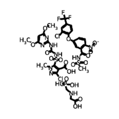 COc1cc(OC)nc(NC(=O)NS(=O)(=O)c2c(C(=O)O)c(Cl)nn2C)n1.CS(=O)(=O)NC(=O)c1cc(Oc2ccc(C(F)(F)F)cc2Cl)ccc1[N+](=O)[O-].O=C(O)CNCP(=O)(O)O